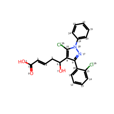 O=C(O)C=CCC(O)c1c(-c2ccccc2Cl)nn(-c2ccccc2)c1Cl